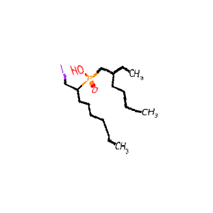 CCCCCCC(CI)P(=O)(O)CC(CC)CCCC